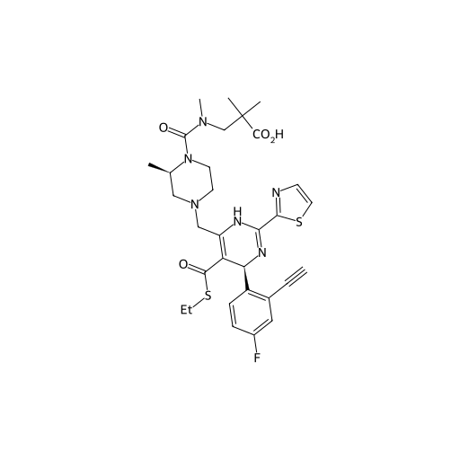 C#Cc1cc(F)ccc1[C@@H]1N=C(c2nccs2)NC(CN2CCN(C(=O)N(C)CC(C)(C)C(=O)O)[C@H](C)C2)=C1C(=O)SCC